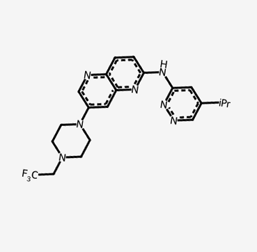 CC(C)c1cnnc(Nc2ccc3ncc(N4CCN(CC(F)(F)F)CC4)cc3n2)c1